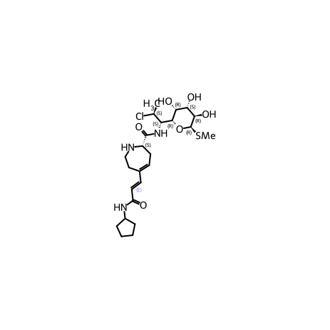 CS[C@H]1O[C@H]([C@H](NC(=O)[C@@H]2CC=C(/C=C/C(=O)NC3CCCC3)CCN2)[C@H](C)Cl)[C@H](O)[C@H](O)[C@H]1O